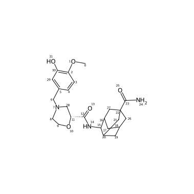 COc1ccc(CN2CCO[C@@H](C(=O)NC3C4CC5CC3CC(C(N)=O)(C5)C4)C2)cc1O